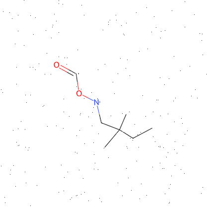 CCC(C)(C)C[N]O[C]=O